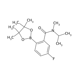 CC(C)N(C)C(=O)c1cc(F)ccc1B1OC(C)(C)C(C)(C)O1